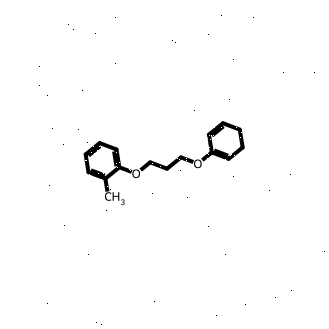 Cc1ccccc1OCCCOC1=CCCC=C1